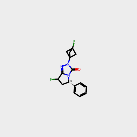 O=c1n(C23CC(F)(C2)C3)nc2n1[C@H](c1ccccc1)CC2F